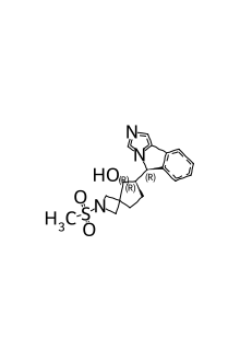 CS(=O)(=O)N1CC2(CC[C@H]([C@@H]3c4ccccc4-c4cncn43)[C@H]2O)C1